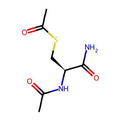 CC(=O)N[C@@H](CSC(C)=O)C(N)=O